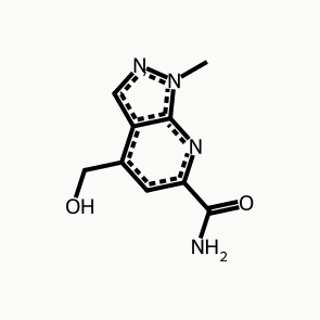 Cn1ncc2c(CO)cc(C(N)=O)nc21